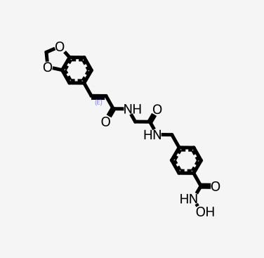 O=C(/C=C/c1ccc2c(c1)OCO2)NCC(=O)NCc1ccc(C(=O)NO)cc1